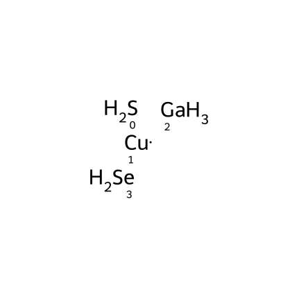 S.[Cu].[GaH3].[SeH2]